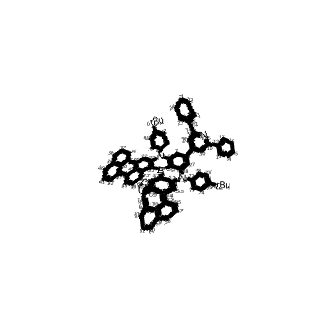 CC(C)(C)c1ccc(N2c3cc(-c4cc(-c5ccccc5)nc(-c5ccccc5)c4)cc4c3B(c3c2cc2c5cccc6cccc(c7cccc3c72)c65)c2c(cc3c5cccc6cccc(c7cccc2c73)c65)N4c2ccc(C(C)(C)C)cc2)cc1